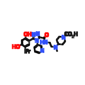 CC(C)c1cc(-c2nnc(C(=O)NCCN(C)C3CCN(C(=O)O)CC3)n2-c2cccnc2)c(O)cc1O